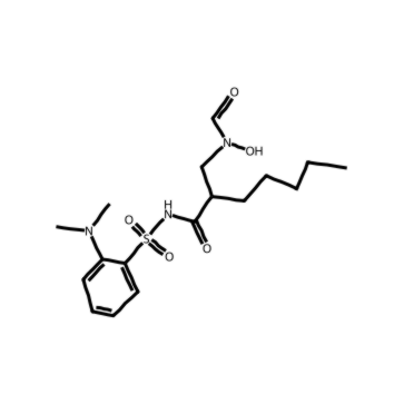 CCCCCC(CN(O)C=O)C(=O)NS(=O)(=O)c1ccccc1N(C)C